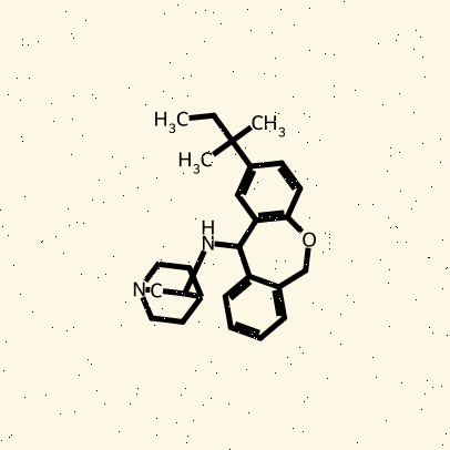 CCC(C)(C)c1ccc2c(c1)C(NC1CN3CCC1CC3)c1ccccc1CO2